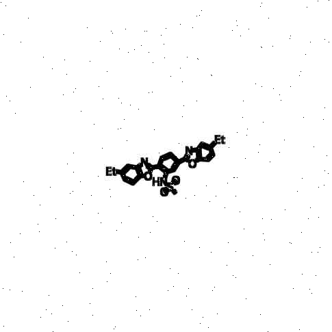 CCc1ccc2oc(-c3ccc(-c4nc5cc(CC)ccc5o4)c(NS(C)(=O)=O)c3)nc2c1